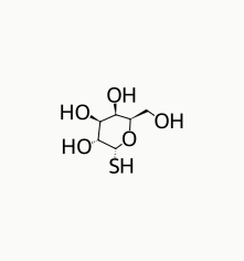 OC[C@H]1O[C@H](S)[C@H](O)[C@@H](O)[C@H]1O